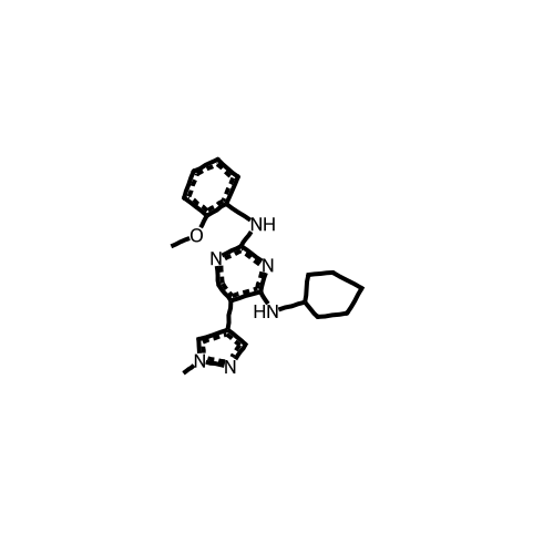 COc1ccccc1Nc1ncc(-c2cnn(C)c2)c(NC2CCCCC2)n1